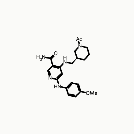 COc1ccc(Nc2cc(NC[C@@H]3CCCN(C(C)=O)C3)c(C(N)=O)cn2)cc1